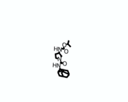 CC(C)OC(=O)NC1CCN(C(=O)NC2C3CC4CC(C3)CC2C4)C1